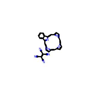 C1=Cc2cc3ccc(cc4nc(cc5ccc(cc1n2)[nH]5)-c1ccccc1-4)[nH]3.N#CC(C#N)=C(C#N)C#N